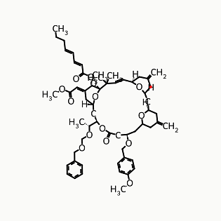 C=C1CC2C[C@@H](OCc3ccc(OC)cc3)CC(=O)O[C@@H]([C@@H](C)OCOCc3ccccc3)C[C@@H]3C/C(=C\C(=O)OC)[C@H](OC(=O)/C=C/C=C/CCC)[C@@](OC)(O3)C(C)(C)/C=C/[C@H]3CC(=C)C[C@@H](C[C@@H](C1)O2)O3